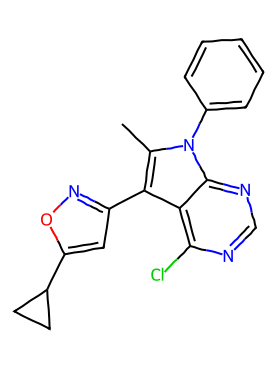 Cc1c(-c2cc(C3CC3)on2)c2c(Cl)ncnc2n1-c1ccccc1